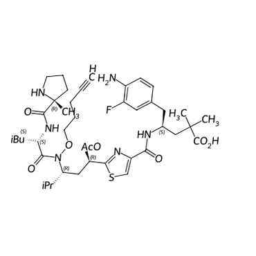 C#CCCCON(C(=O)[C@@H](NC(=O)[C@@]1(C)CCCN1)[C@@H](C)CC)[C@H](C[C@@H](OC(C)=O)c1nc(C(=O)N[C@@H](Cc2ccc(N)c(F)c2)CC(C)(C)C(=O)O)cs1)C(C)C